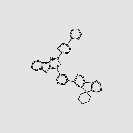 c1ccc(-c2ccc(-c3nc(-c4cccc(-c5ccc6c(c5)C5(CCCCC5)c5ccccc5-6)c4)c4sc5ccccc5c4n3)cc2)cc1